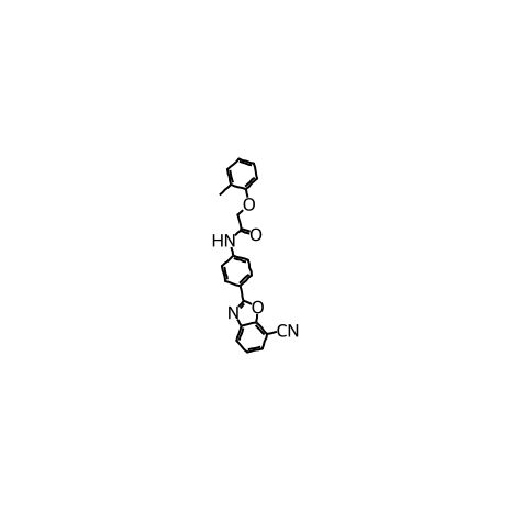 Cc1ccccc1OCC(=O)Nc1ccc(-c2nc3cccc(C#N)c3o2)cc1